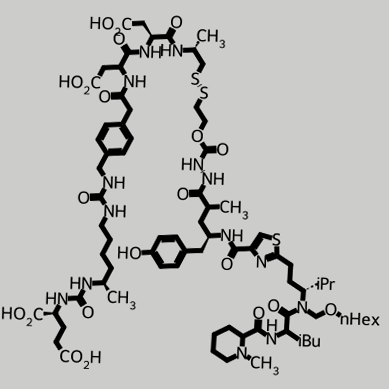 CCCCCCOCN(C(=O)C(NC(=O)C1CCCCN1C)C(C)CC)[C@H](CCc1nc(C(=O)N[C@@H](Cc2ccc(O)cc2)CC(C)C(=O)NNC(=O)OCCSSC[C@@H](C)NC(=O)[C@H](CC(=O)O)NC(=O)C(CC(=O)O)NC(=O)Cc2ccc(CNC(=O)NCCCC[C@@H](C)NC(=O)N[C@@H](CCC(=O)O)C(=O)O)cc2)cs1)C(C)C